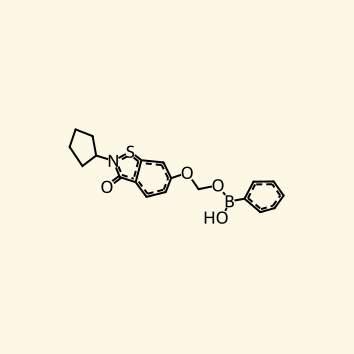 O=c1c2ccc(OCOB(O)c3ccccc3)cc2sn1C1CCCC1